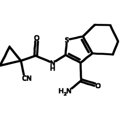 N#CC1(C(=O)Nc2sc3c(c2C(N)=O)CCCC3)CC1